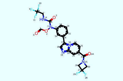 O=CON(C(=O)NCC(F)(F)F)c1cccc(-c2cnc3cc(C(=O)N4CC(F)(F)C4)ccn23)c1